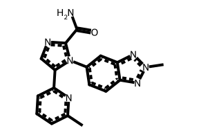 Cc1cccc(-c2cnc(C(N)=O)n2-c2ccc3nn(C)nc3c2)n1